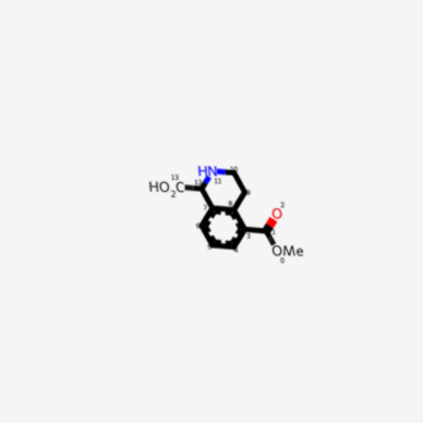 COC(=O)c1cccc2c1CCNC2C(=O)O